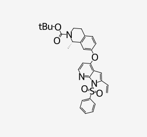 C=Cc1cc2c(Oc3ccc4c(c3)[C@H](C)N(C(=O)OC(C)(C)C)CC4)ccnc2n1S(=O)(=O)c1ccccc1